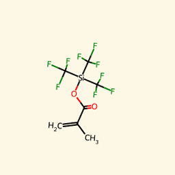 C=C(C)C(=O)O[Si](C(F)(F)F)(C(F)(F)F)C(F)(F)F